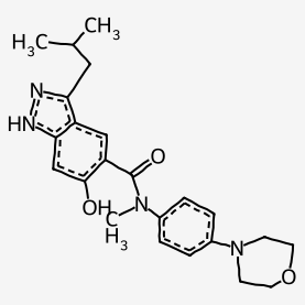 CC(C)Cc1n[nH]c2cc(O)c(C(=O)N(C)c3ccc(N4CCOCC4)cc3)cc12